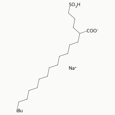 CCC(C)CCCCCCCCCCCCC(CCCS(=O)(=O)O)C(=O)[O-].[Na+]